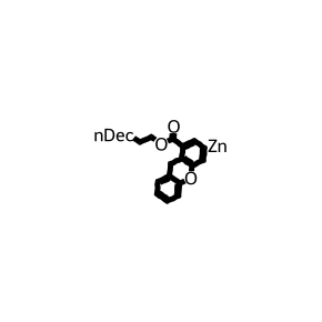 CCCCCCCCCCCCOC(=O)c1cccc2c1Cc1ccccc1O2.[Zn]